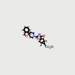 CCOC(=O)C1[C@]2(C)CC3(C[C@]12C)OC(N1CCC2(CC1)OCc1ccccc12)=NC3=O